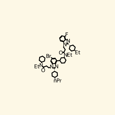 CCC[C@H]1CC[C@H](c2nc3c(C4CCCC(N(CC)C(=O)CCn5c6cccc(F)c6nc5[C@H]5CC[C@H](CC)CC5)C4)cc(Br)cc3n2CCC(=O)N(CC)C2CCCCC2)CC1